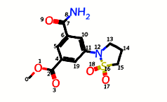 COC(=O)c1cc(C(N)=O)cc(N2CCCS2(=O)=O)c1